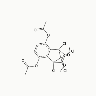 COC1(OC)C2(Cl)C(Cl)=C(Cl)C1(Cl)c1c(OC(C)=O)ccc(OC(C)=O)c12